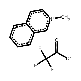 C[n+]1ccc2ccccc2c1.O=C([O-])C(F)(F)F